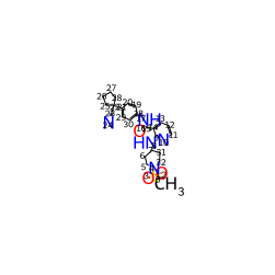 CS(=O)(=O)N1CCC(Nc2ncccc2C(=O)Nc2ccc(C3(C#N)CCCC3)cc2)CC1